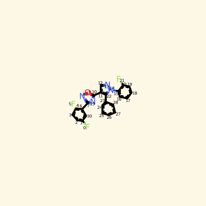 Fc1ccc(F)c(-c2noc(-c3cnn(-c4ccccc4F)c3-c3ccccc3)n2)c1